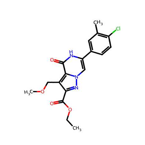 CCOC(=O)c1nn2cc(-c3ccc(Cl)c(C)c3)[nH]c(=O)c2c1COC